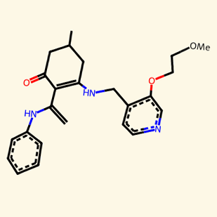 C=C(Nc1ccccc1)C1=C(NCc2ccncc2OCCOC)CC(C)CC1=O